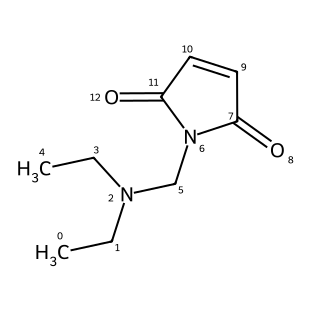 CCN(CC)CN1C(=O)C=CC1=O